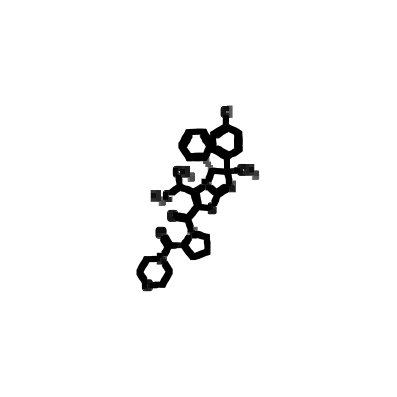 CC(C)C1=C(C(=O)N2CCC[C@H]2C(=O)N2CCOCC2)SC2=N[C@@](C)(c3ccc(Cl)cc3)[C@@H](c3ccccc3)N21